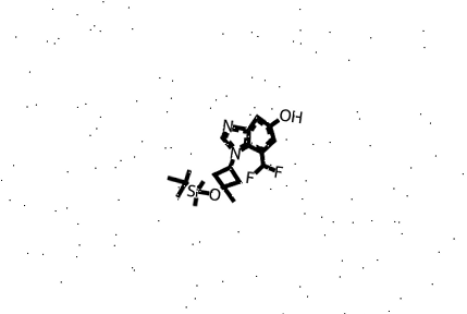 CC1(O[Si](C)(C)C(C)(C)C)CC(n2cnc3cc(O)cc(C(F)F)c32)C1